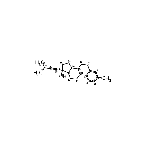 Cc1ccc2c(c1)CCC1C2CCC2C1CCC2(O)C#CC(C)C